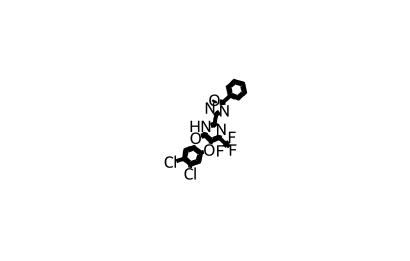 O=c1[nH]c(-c2noc(-c3ccccc3)n2)nc(C(F)(F)F)c1Oc1ccc(Cl)c(Cl)c1